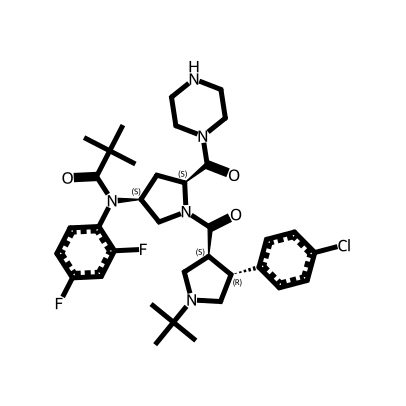 CC(C)(C)C(=O)N(c1ccc(F)cc1F)[C@H]1C[C@@H](C(=O)N2CCNCC2)N(C(=O)[C@@H]2CN(C(C)(C)C)C[C@H]2c2ccc(Cl)cc2)C1